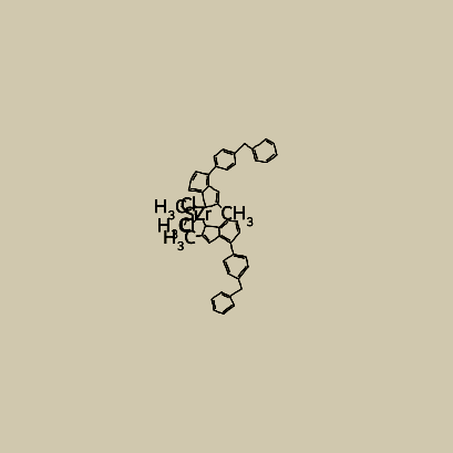 CC1=Cc2c(-c3ccc(Cc4ccccc4)cc3)cccc2[CH]1[Zr]([Cl])([Cl])([CH]1C(C)=Cc2c(-c3ccc(Cc4ccccc4)cc3)cccc21)=[Si](C)C